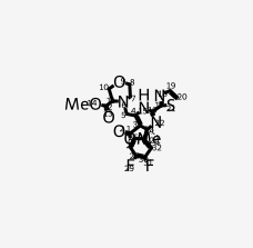 COC(=O)C1=C(CN2CCOCC2C(=O)OC)NC(c2nccs2)=N[C@@]1(C)c1ccc(F)c(F)c1